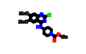 COc1cc2nc(Cl)nc(NC3CCN(C(=O)OC(C)(C)C)CC3)c2cc1OC